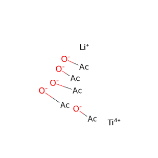 CC(=O)[O-].CC(=O)[O-].CC(=O)[O-].CC(=O)[O-].CC(=O)[O-].[Li+].[Ti+4]